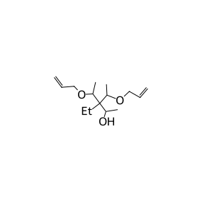 C=CCOC(C)C(CC)(C(C)O)C(C)OCC=C